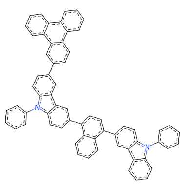 c1ccc(-n2c3ccccc3c3cc(-c4ccc(-c5ccc6c(c5)c5cc(-c7ccc8c9ccccc9c9ccccc9c8c7)ccc5n6-c5ccccc5)c5ccccc45)ccc32)cc1